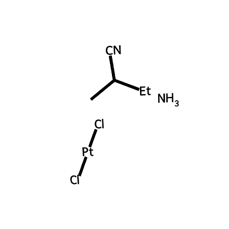 CCC(C)C#N.N.[Cl][Pt][Cl]